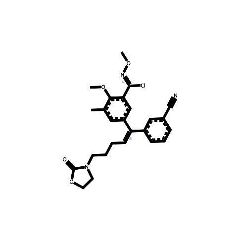 CO/N=C(\Cl)c1cc(/C(=C\CCCN2CCOC2=O)c2cccc(C#N)c2)cc(C)c1OC